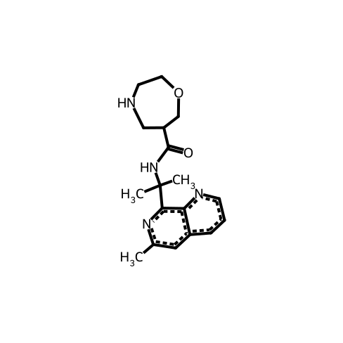 Cc1cc2cccnc2c(C(C)(C)NC(=O)C2CNCCOC2)n1